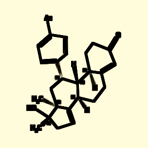 CC(=O)c1ccc([C@H]2C[C@@]3(C)C(=CC[C@]3(C)O)[C@@H]3CCC4=CC(=O)CC[C@@H]4[C@@H]23)cc1